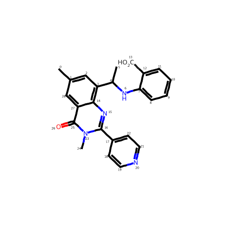 Cc1cc(C(C)Nc2ccccc2C(=O)O)c2nc(-c3ccncc3)n(C)c(=O)c2c1